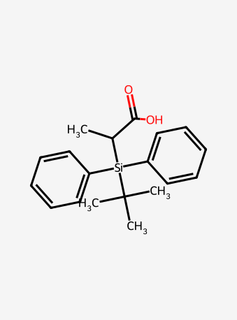 CC(C(=O)O)[Si](c1ccccc1)(c1ccccc1)C(C)(C)C